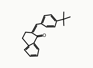 CC(C)(C)c1ccc(C=C2CCc3ccccc3C2=O)cc1